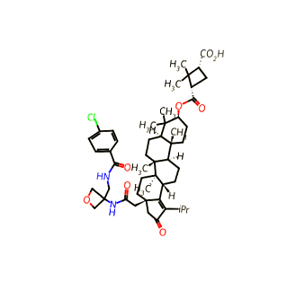 CC(C)C1=C2[C@H]3CC[C@@H]4[C@@]5(C)CC[C@H](OC(=O)[C@H]6C[C@@H](C(=O)O)C6(C)C)C(C)(C)[C@@H]5CC[C@@]4(C)[C@]3(C)CC[C@@]2(CC(=O)NC2(CNC(=O)c3ccc(Cl)cc3)COC2)CC1=O